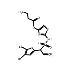 C=CC(c1cc(Br)c(Cl)s1)S(=O)(=O)Nc1nc(OC(=O)CCC)cs1